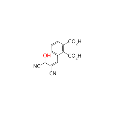 N#CC(=Cc1cccc(C(=O)O)c1C(=O)O)C(O)C#N